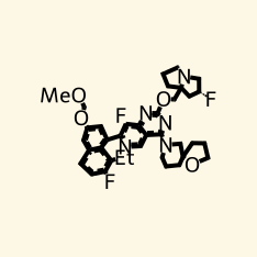 CCc1c(F)ccc2cc(OCOC)cc(-c3ncc4c(N5CCCC6(CCCO6)C5)nc(OCC56CCCN5C[C@H](F)C6)nc4c3F)c12